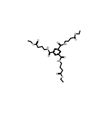 CCOC(=O)CCCNC(=O)c1cc(C(=O)NCCCC(=O)OCC)cc(C(=O)NCCCC(=O)OCC)c1